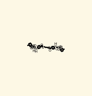 Cc1cccc(S(=O)(=O)NC(=O)Nc2ccc(C(=O)OCCCCOC(=O)c3ccc(NC(=O)NS(=O)(=O)c4cccc(C)c4)cc3)cc2)c1